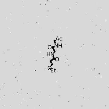 CCOCCC(=O)NCC(=O)NCC(C)=O